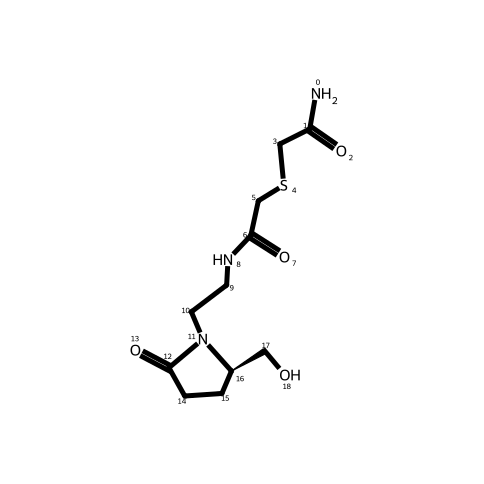 NC(=O)CSCC(=O)NCCN1C(=O)CC[C@@H]1CO